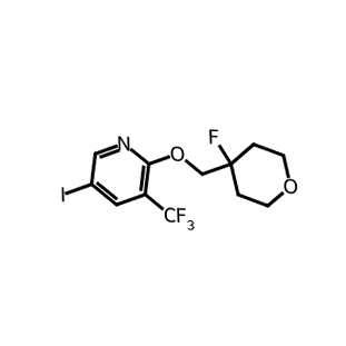 FC1(COc2ncc(I)cc2C(F)(F)F)CCOCC1